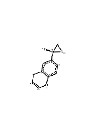 F[C@@]1(c2ccc3c(c2)CC=CO3)CO1